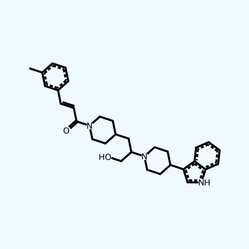 Cc1cccc(C=CC(=O)N2CCC(CC(CO)N3CCC(c4c[nH]c5ccccc45)CC3)CC2)c1